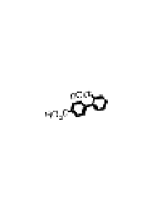 CCCCCCCCc1ccccc1-c1ccc(C(=O)O)cc1